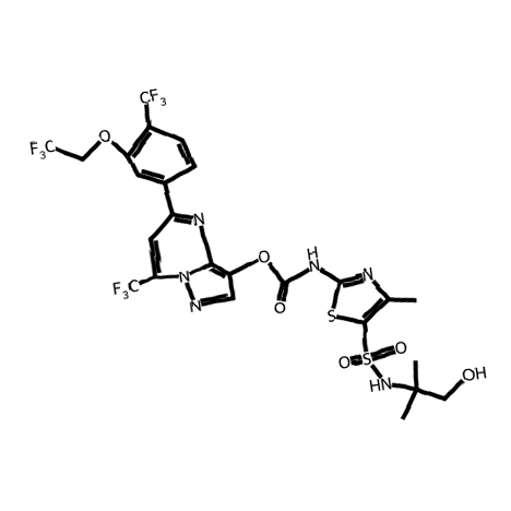 Cc1nc(NC(=O)Oc2cnn3c(C(F)(F)F)cc(-c4ccc(C(F)(F)F)c(OCC(F)(F)F)c4)nc23)sc1S(=O)(=O)NC(C)(C)CO